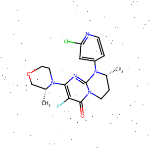 C[C@@H]1COCCN1c1nc2n(c(=O)c1F)CC[C@@H](C(F)(F)F)N2c1ccnc(Cl)c1